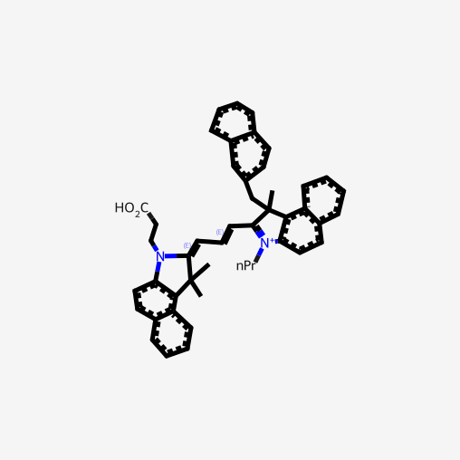 CCC[N+]1=C(/C=C/C=C2/N(CCC(=O)O)c3ccc4ccccc4c3C2(C)C)C(C)(Cc2ccc3ccccc3c2)c2c1ccc1ccccc21